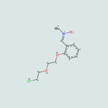 CC(C)(C)[N+]([O-])=Cc1ccccc1OCCOCCCl